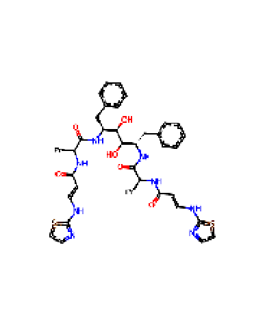 CC(C)[C@H](NC(=O)/C=C/Nc1nccs1)C(=O)N[C@@H](Cc1ccccc1)[C@@H](O)[C@H](O)[C@H](Cc1ccccc1)NC(=O)[C@@H](NC(=O)/C=C/Nc1nccs1)C(C)C